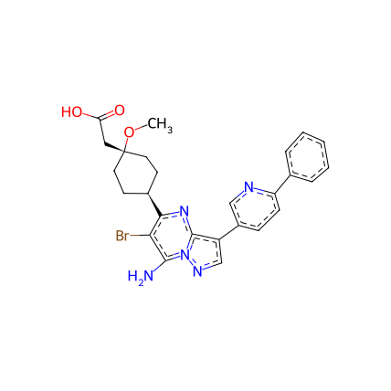 CO[C@]1(CC(=O)O)CC[C@@H](c2nc3c(-c4ccc(-c5ccccc5)nc4)cnn3c(N)c2Br)CC1